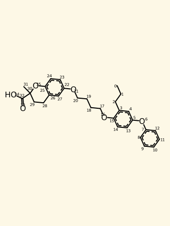 CCCc1cc(Oc2ccccc2)ccc1OCCCCOc1ccc2c(c1)CCC(C)(C(=O)O)O2